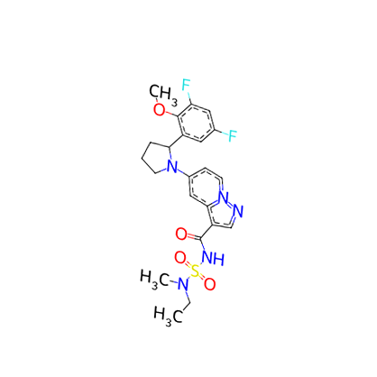 CCN(C)S(=O)(=O)NC(=O)c1cnn2ccc(N3CCCC3c3cc(F)cc(F)c3OC)cc12